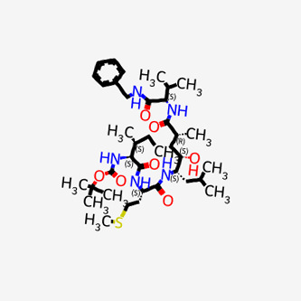 CC[C@H](C)[C@H](NC(=O)OC(C)(C)C)C(=O)N[C@@H](CCSC)C(=O)N[C@@H](CC(C)C)[C@@H](O)C[C@@H](C)C(=O)N[C@H](C(=O)NCc1ccccc1)C(C)C